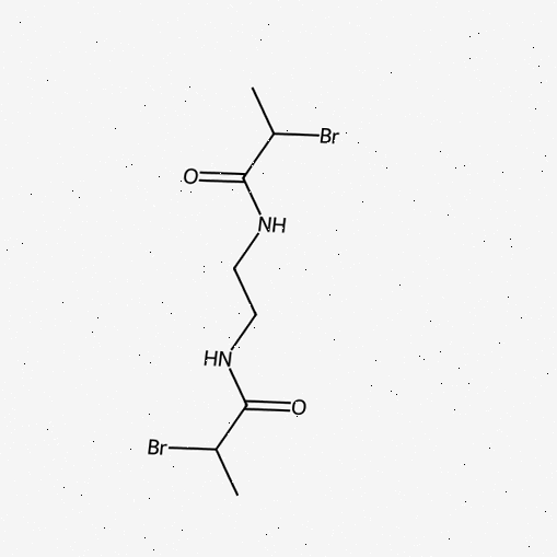 CC(Br)C(=O)NCCNC(=O)C(C)Br